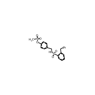 CC(C)Cc1ccccc1S(=O)(=O)NCc1ccc(OS(C)(=O)=O)cc1